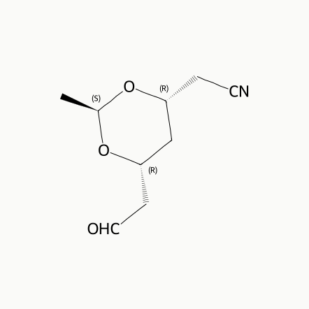 C[C@H]1O[C@H](CC#N)C[C@H](CC=O)O1